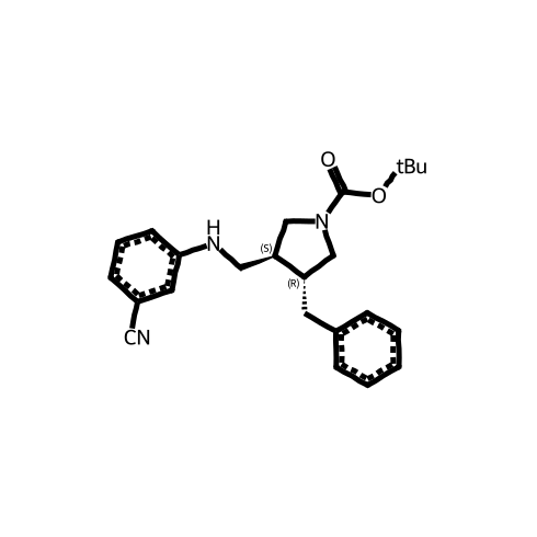 CC(C)(C)OC(=O)N1C[C@H](CNc2cccc(C#N)c2)[C@@H](Cc2ccccc2)C1